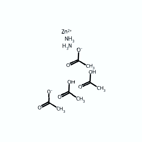 CC(=O)O.CC(=O)O.CC(=O)[O-].CC(=O)[O-].N.N.[Zn+2]